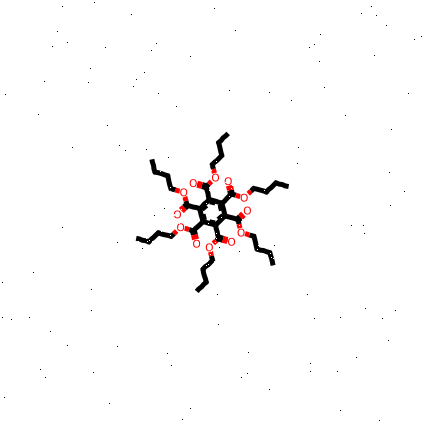 CCCCOC(=O)c1c(C(=O)OCCCC)c(C(=O)OCCCC)c(C(=O)OCCCC)c(C(=O)OCCCC)c1C(=O)OCCCC